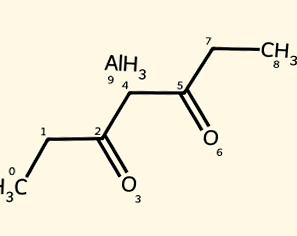 CCC(=O)CC(=O)CC.[AlH3]